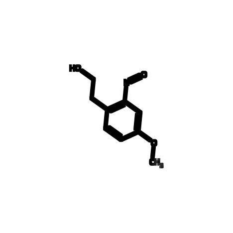 COc1ccc(CCO)c(N=O)c1